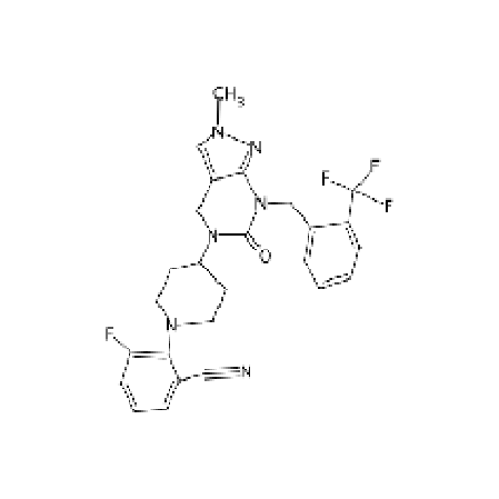 Cn1cc2c(n1)N(Cc1ccccc1C(F)(F)F)C(=O)N(C1CCN(c3c(F)cccc3C#N)CC1)C2